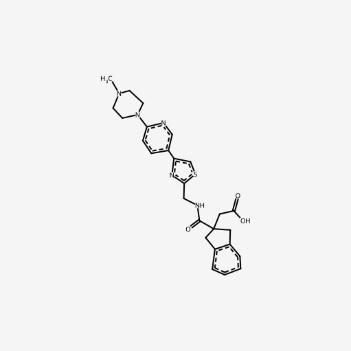 CN1CCN(c2ccc(-c3csc(CNC(=O)C4(CC(=O)O)Cc5ccccc5C4)n3)cn2)CC1